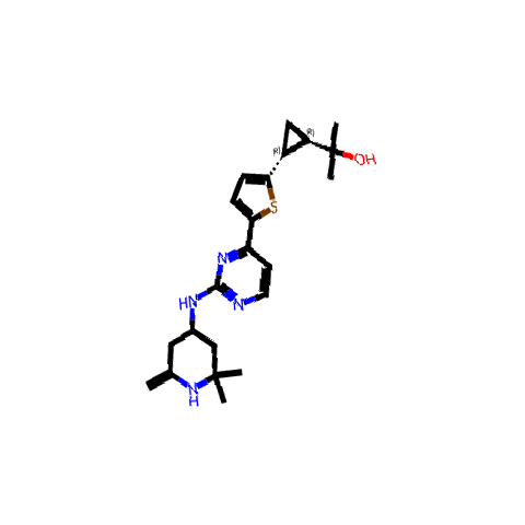 C=C1CC(Nc2nccc(-c3ccc([C@@H]4C[C@H]4C(C)(C)O)s3)n2)CC(C)(C)N1